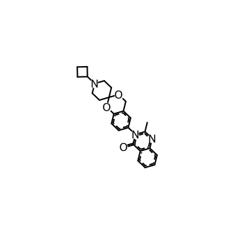 Cc1nc2ccccc2c(=O)n1-c1ccc2c(c1)COC1(CCN(C3CCC3)CC1)O2